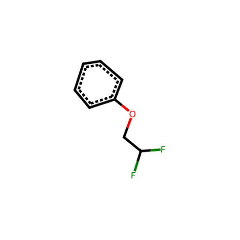 F[C](F)COc1ccccc1